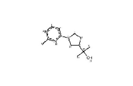 Cc1nccc(N2CCC(C(C)(C)O)C2)n1